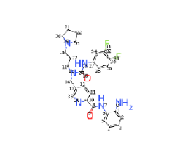 Nc1ccccc1NC(=O)c1ccc(CN(CCCN2CCCC2)C(=O)Nc2ccc(F)c(F)c2)cn1